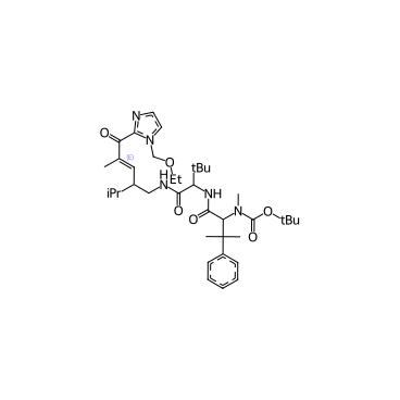 CCOCn1ccnc1C(=O)/C(C)=C/C(CNC(=O)C(NC(=O)C(N(C)C(=O)OC(C)(C)C)C(C)(C)c1ccccc1)C(C)(C)C)C(C)C